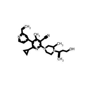 C=Cc1cc(-c2c(C3CC3)nc(N3CCN(C(=C)CCO)C(C)C3)c(C#N)c2C)ccn1